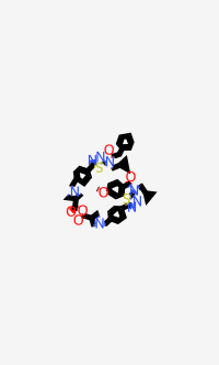 COc1ccc(C(=O)N(CC2CC2)c2nnc(-c3ccc(CN4CC(C(=O)OC(=O)C5CN(Cc6ccc(-c7nnc(N(CC8CC8)C(=O)Cc8ccccc8)s7)cc6)C5)C4)cc3)s2)cc1